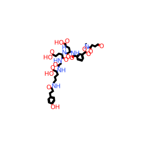 CN(OC(=O)c1cccc(C(=O)NC(CCC(=O)O)C(=O)NC(CCC(=O)O)C(=O)NCC(=O)NC(CCCCNC(=O)CCc2ccc(O)cc2)C(=O)O)c1)C(=O)CCC=O